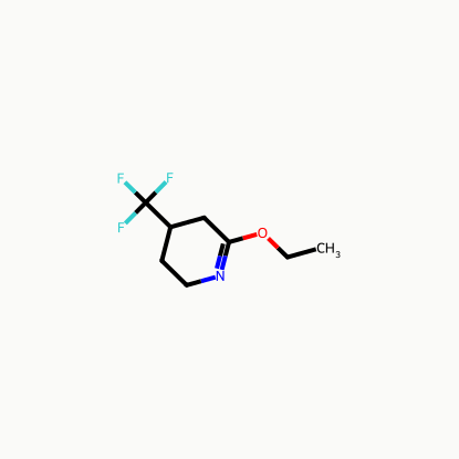 CCOC1=NCCC(C(F)(F)F)C1